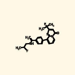 C=C(NCC(C)F)c1ccc(-c2cccn3c(=O)cc(C(C)(C)F)nc23)cc1